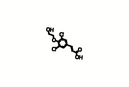 O=C(O)/C=C/c1cc(Cl)c(OCCO)c(Cl)c1